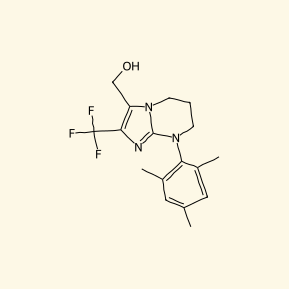 Cc1cc(C)c(N2CCCn3c2nc(C(F)(F)F)c3CO)c(C)c1